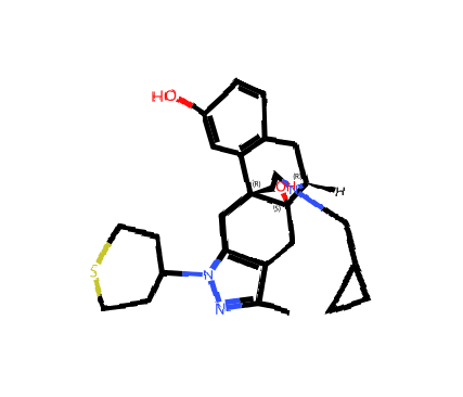 Cc1nn(C2CCSCC2)c2c1C[C@@]1(O)[C@H]3Cc4ccc(O)cc4[C@@]1(CCN3CC1CC1)C2